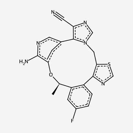 C[C@H]1Oc2cc(cnc2N)-c2c(C#N)ncn2Cc2scnc2-c2ccc(F)cc21